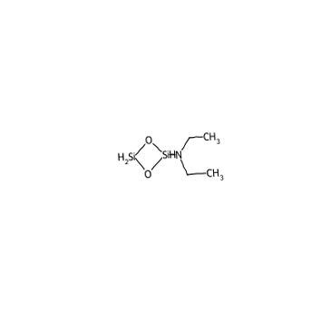 CCN(CC)[SiH]1O[SiH2]O1